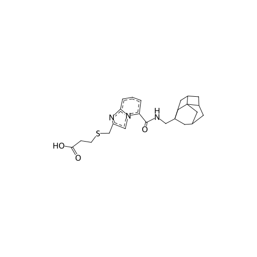 O=C(O)CCSCc1cn2c(C(=O)NCC34CC5CC6CC(C3)C6(C5)C4)cccc2n1